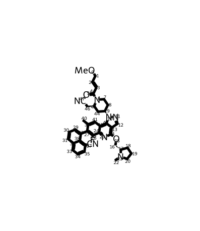 COC/C=C/C(=O)N1CC[C@H](n2ncc3c(OC[C@@H]4CCCN4C)nc4c(F)c(-c5cccc6cccc(C#N)c56)c(C)cc4c32)C[C@H]1CC#N